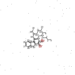 CCCCC(CC)Cc1c(Br)c(Br)c2c(c1CC(CC)CCCC)-c1ccccc1C2